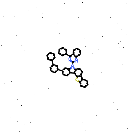 c1ccc(-c2cccc(-c3ccc4c5c6sc7ccccc7c6ccc5n(-c5nc(-c6ccccc6)c6ccccc6n5)c4c3)c2)cc1